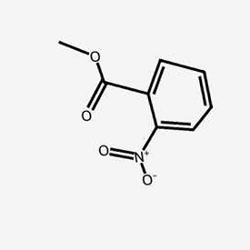 COC(=O)c1ccccc1[N+](=O)[O-]